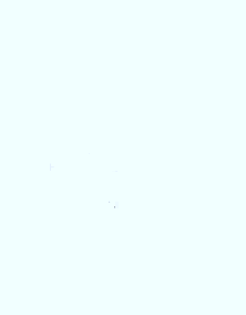 CCC(C(=N)C(=O)O)C(C)O